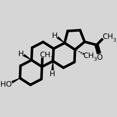 CC(=O)C1CC[C@H]2C3CC[C@H]4C[C@H](O)CCC4(C)[C@H]3CC[C@]12C